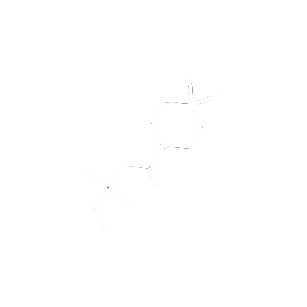 CCC(C)(C)OC(=O)N1CCS(=O)(=O)CC1